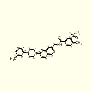 Cc1ccc(C(=O)NCc2cc3nc(N4CCN(c5cncc(N)c5)CC4)ccc3cn2)cc1S(C)(=O)=O